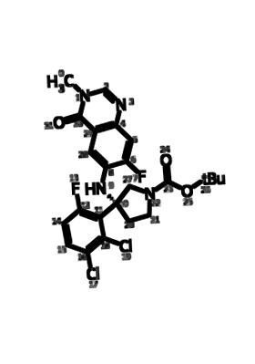 Cn1cnc2cc(F)c(N[C@@]3(c4c(F)ccc(Cl)c4Cl)CCN(C(=O)OC(C)(C)C)C3)cc2c1=O